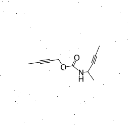 CC#CCOC(=O)NC(C)C#CC